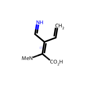 C=C/C(C=N)=C(/NC)C(=O)O